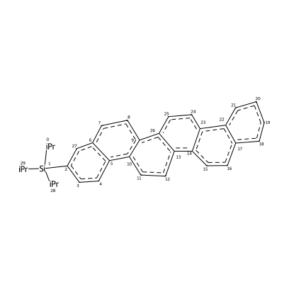 CC(C)[Si](c1ccc2c(ccc3c2ccc2c4ccc5ccccc5c4ccc32)c1)(C(C)C)C(C)C